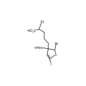 CCCCCCC1(CCCC(CC)C(=O)O)C=C(I)SC1Br